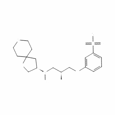 NS(=O)(=O)c1cccc(OC[C@@H](O)CN(C(=O)O)[C@H]2COC3(CCNCC3)C2)c1